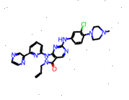 C=CCn1c(=O)c2cnc(Nc3ccc(N4CCN(C)CC4)c(Cl)c3)nc2n1-c1cccc(-c2cnccn2)n1